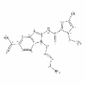 CCn1nc(C)cc1C(=O)Nc1nc2cc(C(N)=O)cnc2n1CC=CCN